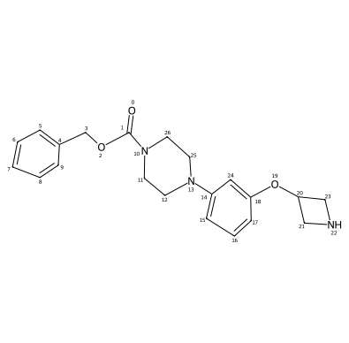 O=C(OCc1ccccc1)N1CCN(c2cccc(OC3CNC3)c2)CC1